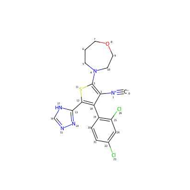 [C-]#[N+]c1c(N2CCCOCC2)sc(-c2nnc[nH]2)c1-c1ccc(Cl)cc1Cl